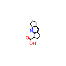 O=C(O)C1CCc2cc3c(nc21)CCC3